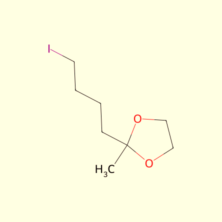 CC1(CCCCI)OCCO1